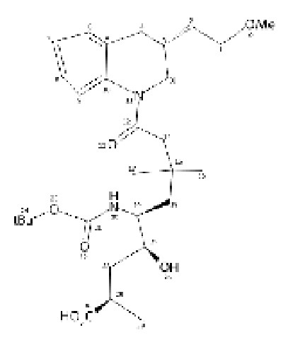 COCC[C@H]1Cc2ccccc2N(C(=O)CC(C)(C)C[C@H](NC(=O)OC(C)(C)C)[C@@H](O)C[C@@H](C)C(=O)O)C1